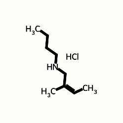 CC=C(C)CNCCCC.Cl